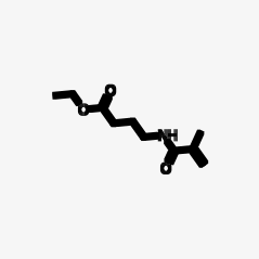 C=C(C)C(=O)NCCCC(=O)OCC